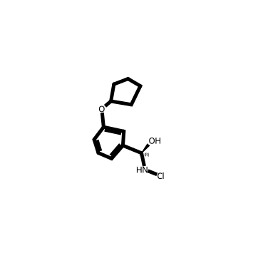 O[C@@H](NCl)c1cccc(OC2CCCC2)c1